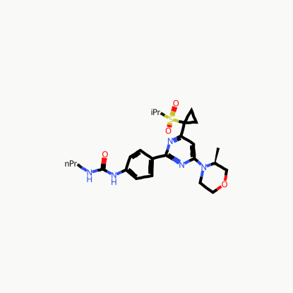 CCCNC(=O)Nc1ccc(-c2nc(N3CCOC[C@@H]3C)cc(C3(S(=O)(=O)C(C)C)CC3)n2)cc1